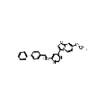 COc1ccn2c(-c3cc(NCc4ccc(-c5ccccc5)cc4)ncn3)cnc2c1